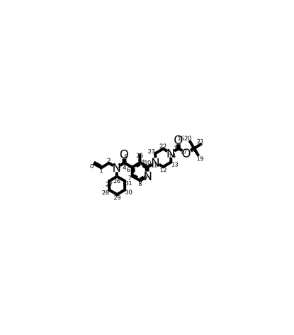 C=CCN(C(=O)c1ccnc(N2CCN(C(=O)OC(C)(C)C)CC2)c1C)C1CCCCC1